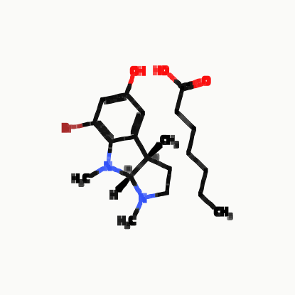 CCCCCCC(=O)O.CN1CC[C@@]2(C)c3cc(O)cc(Br)c3N(C)[C@@H]12